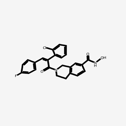 O=C(NO)c1ccc2c(c1)CN(C(=O)/C(=C\c1ccc(F)cc1)c1ccccc1Cl)CC2